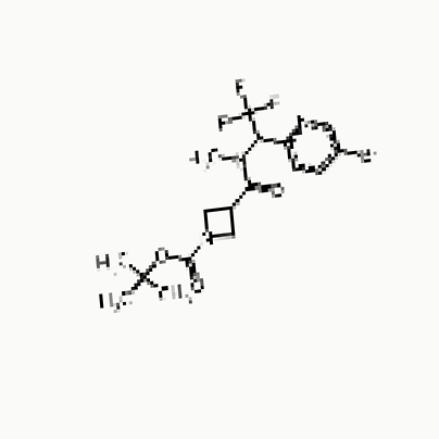 CN(C(=O)C1CN(C(=O)OC(C)(C)C)C1)C(c1ccc(Br)cn1)C(F)(F)F